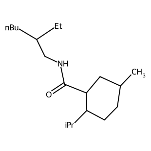 CCCCC(CC)CNC(=O)C1CC(C)CCC1C(C)C